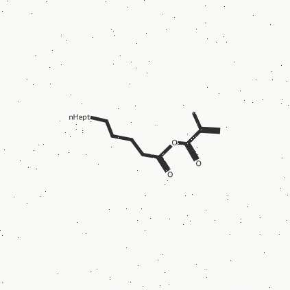 C=C(C)C(=O)OC(=O)CCCCCCCCCCC